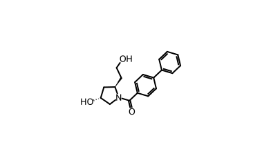 O=C(c1ccc(-c2ccccc2)cc1)N1C[C@H](O)C[C@H]1CCO